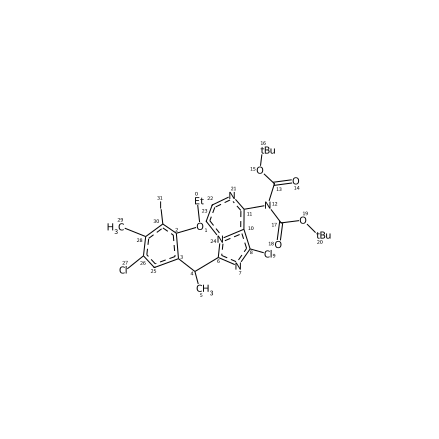 CCOc1c(C(C)c2nc(Cl)c3c(N(C(=O)OC(C)(C)C)C(=O)OC(C)(C)C)nccn23)cc(Cl)c(C)c1I